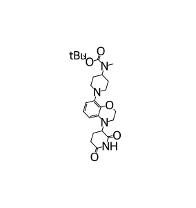 CN(C(=O)OC(C)(C)C)C1CCN(c2cccc3c2OCCN3C2CCC(=O)NC2=O)CC1